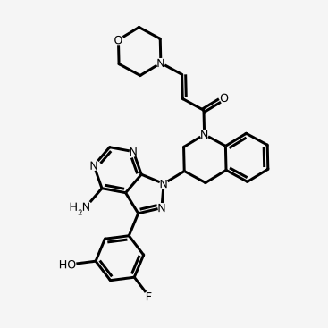 Nc1ncnc2c1c(-c1cc(O)cc(F)c1)nn2C1Cc2ccccc2N(C(=O)C=CN2CCOCC2)C1